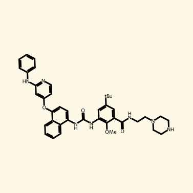 COc1c(NC(=O)Nc2ccc(Oc3ccnc(Nc4ccccc4)c3)c3ccccc23)cc(C(C)(C)C)cc1C(=O)NCCN1CCNCC1